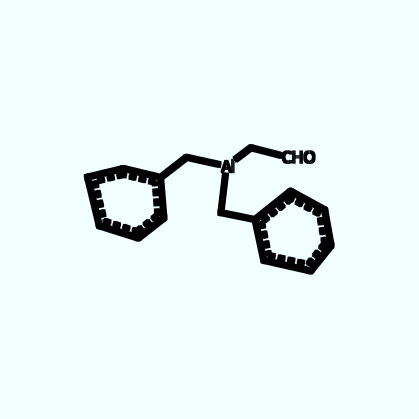 O=C[CH2][Al]([CH2]c1ccccc1)[CH2]c1ccccc1